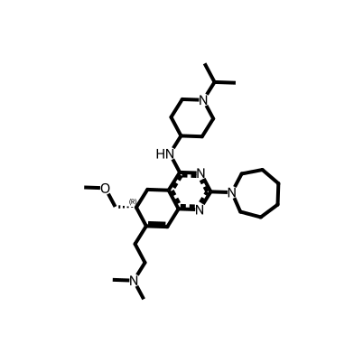 COC[C@@H]1Cc2c(nc(N3CCCCCC3)nc2NC2CCN(C(C)C)CC2)C=C1CCN(C)C